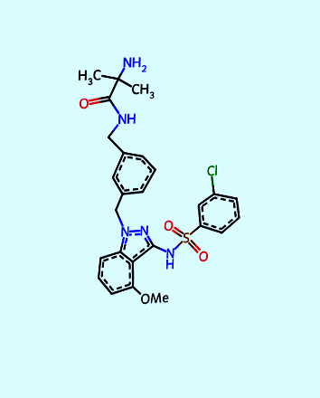 COc1cccc2c1c(NS(=O)(=O)c1cccc(Cl)c1)nn2Cc1cccc(CNC(=O)C(C)(C)N)c1